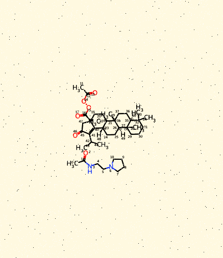 CC(=O)NCCN1CCCC1.CC(=O)OOC(=O)[C@@]12CC[C@]3(C)[C@H](CC[C@@H]4[C@@]5(C)CCCC(C)(C)[C@@H]5CC[C@]43C)C1=C(C(C)C)C(=O)C2